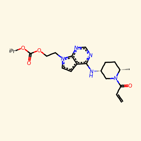 C=CC(=O)N1C[C@H](Nc2ncnc3c2ccn3CCOC(=O)OC(C)C)CC[C@@H]1C